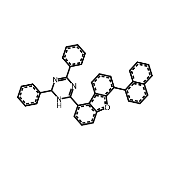 c1ccc(C2=NC(c3ccccc3)NC(c3cccc4oc5c(-c6cccc7ccccc67)cccc5c34)=N2)cc1